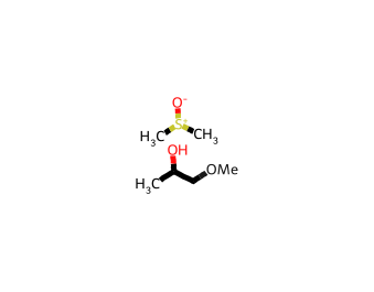 COCC(C)O.C[S+](C)[O-]